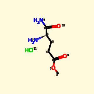 COC(=O)CC[C@H](N)C(N)=O.Cl